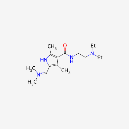 CCN(CC)CCNC(=O)c1c(C)[nH]c(C=[N+](C)C)c1C